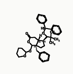 CC(C)(C)C(O[SiH](c1ccccc1)c1ccccc1)[C@H]1CC[C@@]2(Cc3ccccc3)C(OC3CCCCO3)OC(=O)C[C@H]12